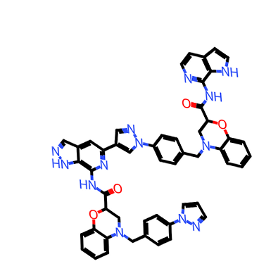 O=C(Nc1nccc2cc[nH]c12)C1CN(Cc2ccc(-n3cc(-c4cc5cn[nH]c5c(NC(=O)C5CN(Cc6ccc(-n7cccn7)cc6)c6ccccc6O5)n4)cn3)cc2)c2ccccc2O1